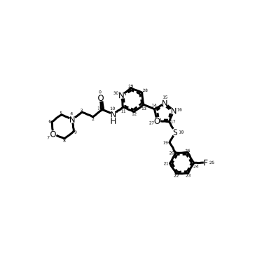 O=C(CCN1CCOCC1)Nc1cc(-c2nnc(SCc3cccc(F)c3)o2)ccn1